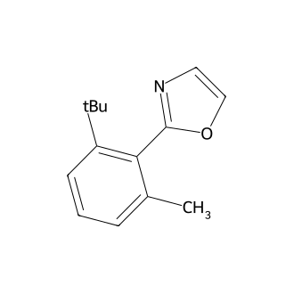 Cc1cccc(C(C)(C)C)c1-c1ncco1